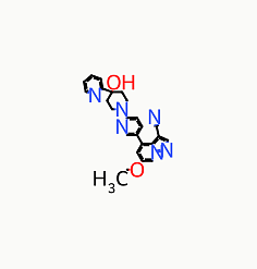 CCOc1cc(-c2ccc(N3CCC(O)(c4ccccn4)CC3)nc2)c2c(C#N)cnn2c1